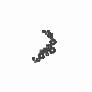 O=C(Nc1ccc(OC(F)(F)F)cc1)N[C@@H]1CCCC[C@H]1N[C@H]1CCCN(c2ccc([N+](=O)[O-])cc2)C1